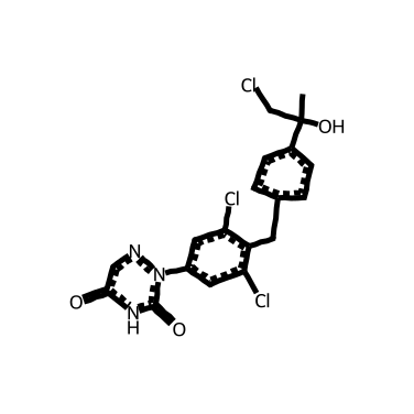 CC(O)(CCl)c1ccc(Cc2c(Cl)cc(-n3ncc(=O)[nH]c3=O)cc2Cl)cc1